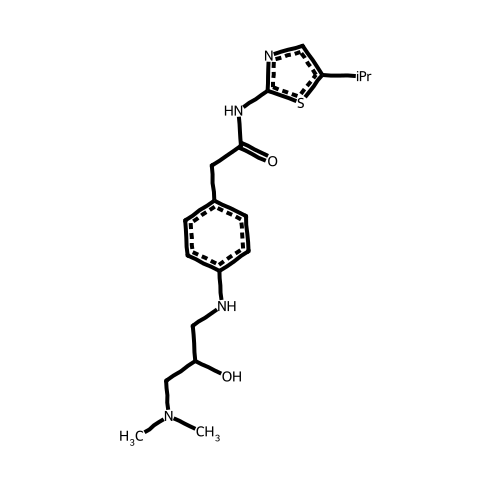 CC(C)c1cnc(NC(=O)Cc2ccc(NCC(O)CN(C)C)cc2)s1